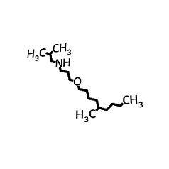 CCCCC(C)CCCCOCCCNCC(C)C